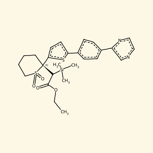 CCOC(=O)C([C@]1(c2ccc(-c3ccc(-c4cnccn4)cc3)s2)CCCCS1(=O)=O)[Si](C)(C)C